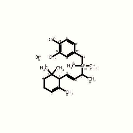 CC1=CCCC(C)(C)C1C=CC(C)[N+](C)(C)Cc1ccc(Cl)c(Cl)c1.[Br-]